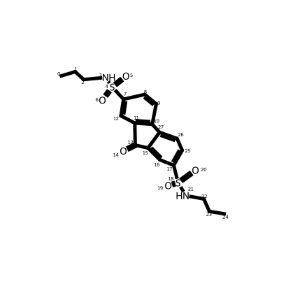 CCCNS(=O)(=O)c1ccc2c(c1)C(=O)c1cc(S(=O)(=O)NCCC)ccc1-2